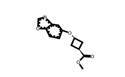 COC(=O)[C@H]1C[C@H](Oc2ccc3ocnc3c2)C1